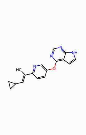 N#C/C(=C\C1CC1)c1ccc(Oc2ncnc3[nH]ccc23)cn1